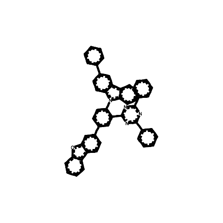 c1ccc(-c2ccc3c(c2)c2ccccc2n3-c2ccc(-c3ccc4c(c3)oc3ccccc34)cc2-c2nc(-c3ccccc3)nc(-c3ccccc3)n2)cc1